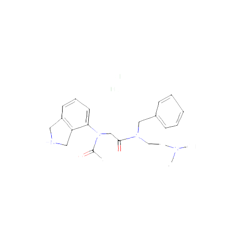 CN(C)CCN(Cc1ccccc1)C(=O)CN(C(=O)C(F)(F)F)c1cccc2c1CNC2.Cl.Cl